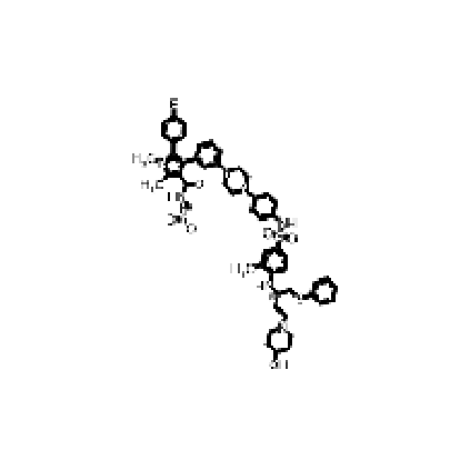 Cc1cc(S(=O)(=O)Nc2ccc(N3CCN(c4cccc(-c5c(C(=O)NC[SH](=O)=O)c(C)n(C)c5-c5ccc(F)cc5)c4)CC3)cc2)ccc1N[C@H](CCN1CCC(O)CC1)CSc1ccccc1